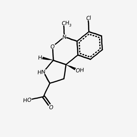 CN1O[C@H]2NC(C(=O)O)C[C@@]2(O)c2cccc(Cl)c21